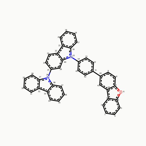 c1ccc2c(c1)oc1ccc(-c3ccc(-n4c5ccccc5c5ccc(-n6c7ccccc7c7ccccc76)cc54)cc3)cc12